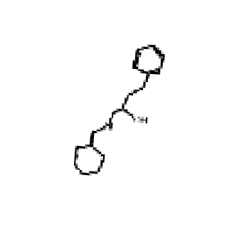 OC([CH]Cc1ccccc1)CNCC1CCCCC1